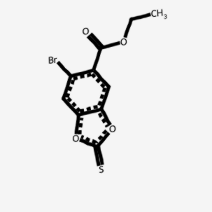 CCOC(=O)c1cc2oc(=S)oc2cc1Br